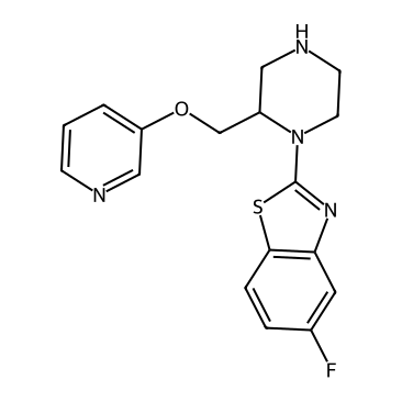 Fc1ccc2sc(N3CCNCC3COc3cccnc3)nc2c1